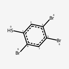 Sc1cc(Br)c(Br)cc1Br